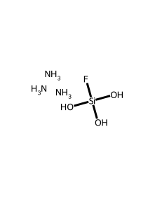 N.N.N.O[Si](O)(O)F